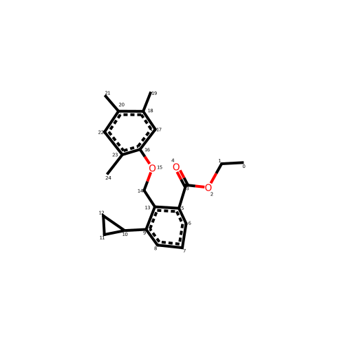 CCOC(=O)c1cccc(C2CC2)c1COc1cc(C)c(C)cc1C